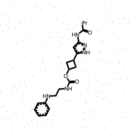 CC(C)C(=O)Nc1cc(C2CC(OC(=O)NCCNc3ccccc3)C2)[nH]n1